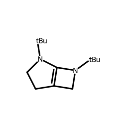 CC(C)(C)N1CCC2=C1N(C(C)(C)C)C2